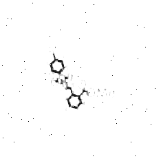 COC(=O)c1ccccc1C=NS(=O)(=O)c1ccc(C)cc1